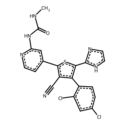 CNC(=O)Nc1cc(-c2sc(-c3ncc[nH]3)c(-c3ccc(Cl)cc3Cl)c2C#N)ccn1